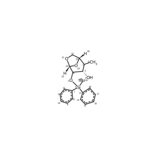 CC1[C@H](O)C(O[Si](c2ccccc2)(c2ccccc2)C(C)(C)C)[C@@H]2OC[C@H]1O2